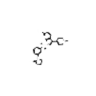 CCc1ccc2c(C3=CCN(C)CC3)cn(S(=O)(=O)c3cccc(N4CCCC4=O)c3)c2n1